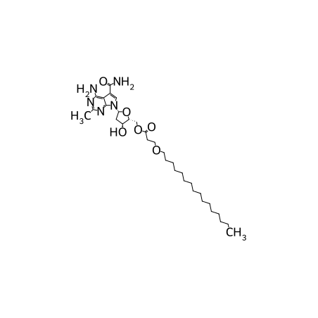 CCCCCCCCCCCCCCCCOCCC(=O)OC[C@H]1O[C@@H](n2cc(C(N)=O)c3c(N)nc(C)nc32)C[C@@H]1O